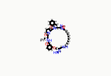 CC(C)C[C@H]1NC(=O)c2ccccc2OC/C(N=N)=C/NCCCCCCCc2nc(no2)[C@H](Cc2ccccc2)N(C)C(=O)[C@H]2CCCN2C1=O